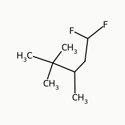 CC(CC(F)F)C(C)(C)C